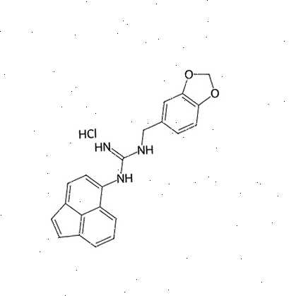 Cl.N=C(NCc1ccc2c(c1)OCO2)Nc1ccc2c3c(cccc13)C=C2